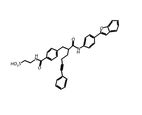 O=C(NCCS(=O)(=O)O)c1ccc(CC(CCC#Cc2ccccc2)C(=O)Nc2ccc(-c3cc4ccccc4o3)cc2)cc1